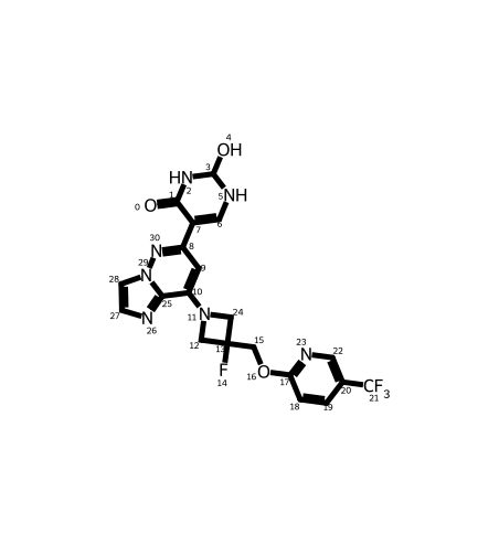 O=C1NC(O)NC=C1c1cc(N2CC(F)(COc3ccc(C(F)(F)F)cn3)C2)c2nccn2n1